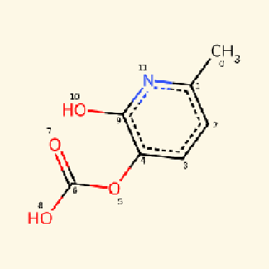 Cc1ccc(OC(=O)O)c(O)n1